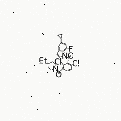 CCC1CCN(C(=O)c2ccc(Cl)c(C(=O)n3ccc4cc(C5CC5)cc(F)c43)c2Cl)CC1